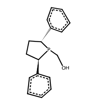 OCP1[C@@H](c2ccccc2)CC[C@@H]1c1ccccc1